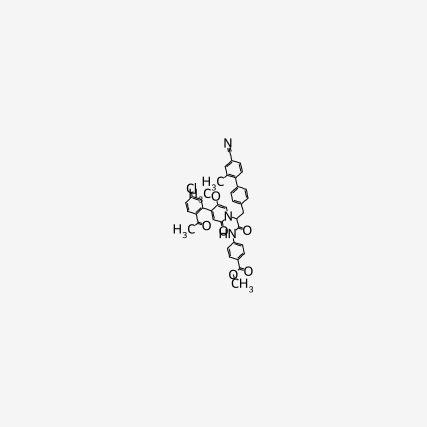 COC(=O)c1ccc(NC(=O)C(Cc2ccc(-c3ccc(C#N)cc3C)cc2)n2cc(OC)c(-c3cc(Cl)ccc3C(C)=O)cc2=O)cc1